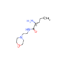 CCC[C@H](N)C(=O)NCCN1CCOCC1